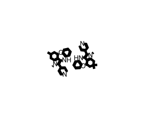 CC1CC(=O)c2c(Nc3ccccc3)c(-c3ccncc3)n(C)c2C1.Cn1c2c(c(Nc3ccccc3)c1-c1ccncc1)C(=O)CC(C)(C)C2